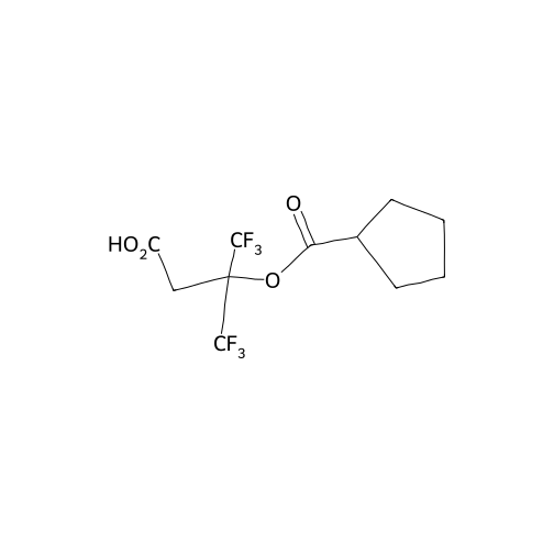 O=C(O)CC(OC(=O)C1CCCC1)(C(F)(F)F)C(F)(F)F